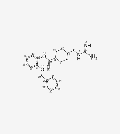 N=C(N)NCC1CCC(C(=O)Oc2ccccc2OCc2ccccc2)CC1